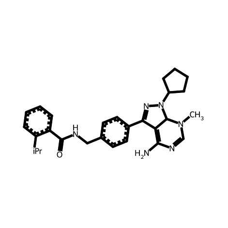 CC(C)c1ccccc1C(=O)NCc1ccc(C2=NN(C3CCCC3)C3C2=C(N)N=CN3C)cc1